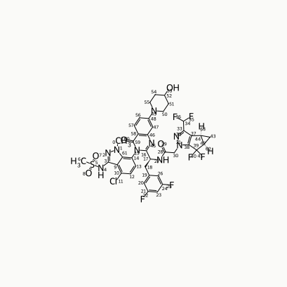 Cn1nc(NS(C)(=O)=O)c2c(Cl)ccc(-n3c([C@H](Cc4cc(F)cc(F)c4)NC(=O)Cn4nc(C(F)F)c5c4C(F)(F)[C@@H]4C[C@H]54)nc4cc(N5CCC(O)CC5)ccc4c3=O)c21